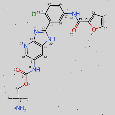 CC(C)(N)COC(=O)Nc1cnc2nc(-c3cc(NC(=O)c4ccco4)ccc3Cl)[nH]c2c1